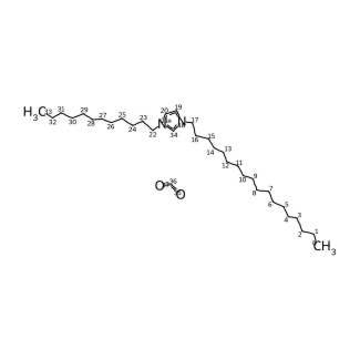 CCCCCCCCCCCCCCCCCCn1cc[n+](CCCCCCCCCCCC)c1.O=C[O-]